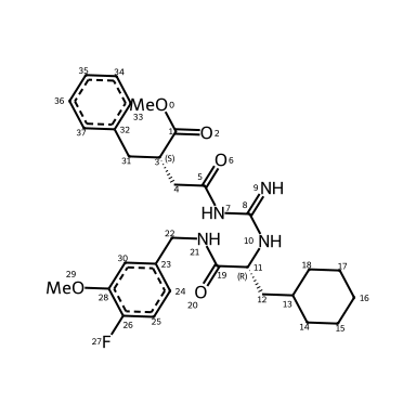 COC(=O)[C@H](CC(=O)NC(=N)N[C@H](CC1CCCCC1)C(=O)NCc1ccc(F)c(OC)c1)Cc1ccccc1